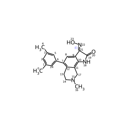 Cc1cc(C)cc(-c2cc3c(c4c2CCN(C)C4)NC(=O)/C3=N/O)c1